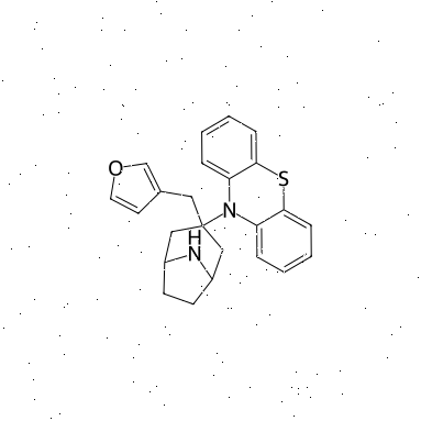 c1ccc2c(c1)Sc1ccccc1N2C1(Cc2ccoc2)CC2CCC(C1)N2